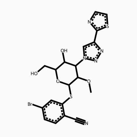 COC1C(Sc2cc(Br)ccc2C#N)OC(CO)C(O)C1n1cc(-c2nccs2)nn1